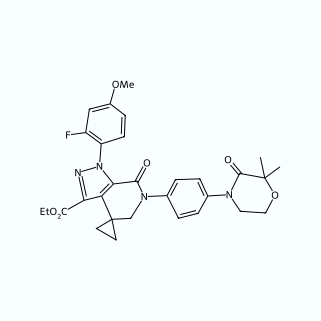 CCOC(=O)c1nn(-c2ccc(OC)cc2F)c2c1C1(CC1)CN(c1ccc(N3CCOC(C)(C)C3=O)cc1)C2=O